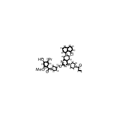 C=CC(=O)N1CCN(c2nc(OC[C@@H]3CCN(C(=O)c4cc(C(C)C)c(O)cc4OC)C3)nc3c2CCN(c2cccc4cccc(Cl)c24)C3)CC1